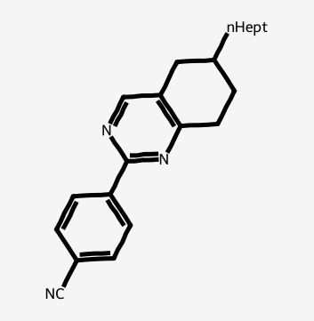 CCCCCCCC1CCc2nc(-c3ccc(C#N)cc3)ncc2C1